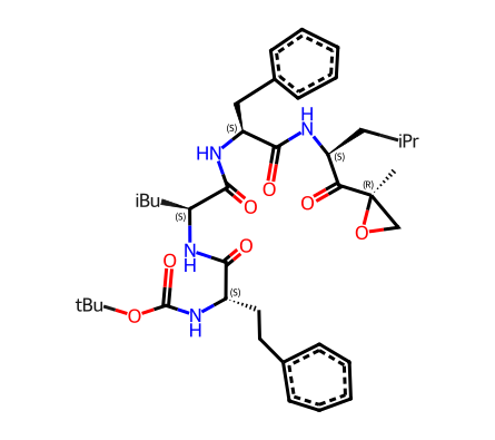 CCC(C)[C@H](NC(=O)[C@H](CCc1ccccc1)NC(=O)OC(C)(C)C)C(=O)N[C@@H](Cc1ccccc1)C(=O)N[C@@H](CC(C)C)C(=O)[C@@]1(C)CO1